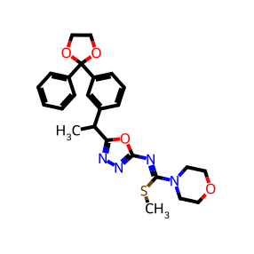 CS/C(=N\c1nnc(C(C)c2cccc(C3(c4ccccc4)OCCO3)c2)o1)N1CCOCC1